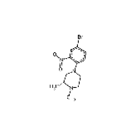 C[C@@H]1CN(c2ccc(Br)cc2[N+](=O)[O-])CCN1C